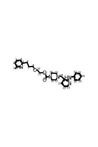 Cc1cccc(CCCOCCOC(=O)N2CCN(Cc3cccnc3Nc3ccccc3)CC2)n1